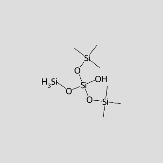 C[Si](C)(C)O[Si](O)(O[SiH3])O[Si](C)(C)C